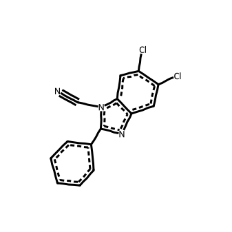 N#Cn1c(-c2ccccc2)nc2cc(Cl)c(Cl)cc21